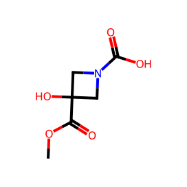 COC(=O)C1(O)CN(C(=O)O)C1